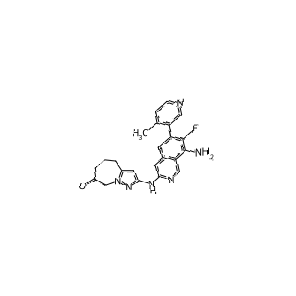 Cc1ccncc1-c1cc2cc(Nc3cc4n(n3)CC(=O)CCC4)ncc2c(N)c1F